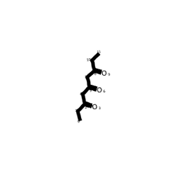 CCC(=O)CC(=O)CC(=O)CC